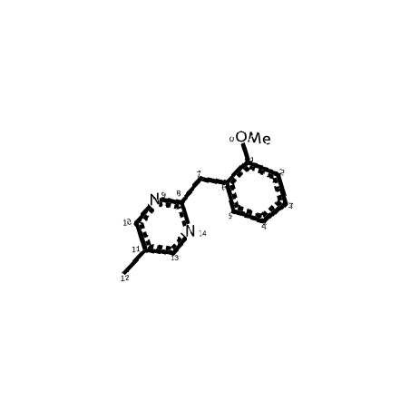 COc1ccccc1Cc1ncc(C)cn1